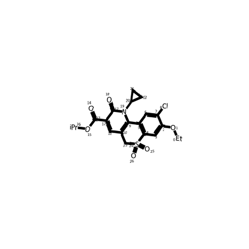 CCOc1cc2c(cc1Cl)-c1c(cc(C(=O)OC(C)C)c(=O)n1C1CC1)CS2(=O)=O